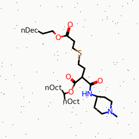 CCCCCCCCCCCCOC(=O)CCSCCC(C(=O)NC1CCN(C)CC1)C(=O)OC(CCCCCCCC)CCCCCCCC